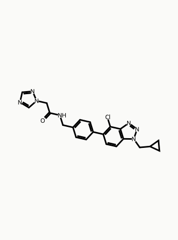 O=C(Cn1cncn1)NCc1ccc(-c2ccc3c(nnn3CC3CC3)c2Cl)cc1